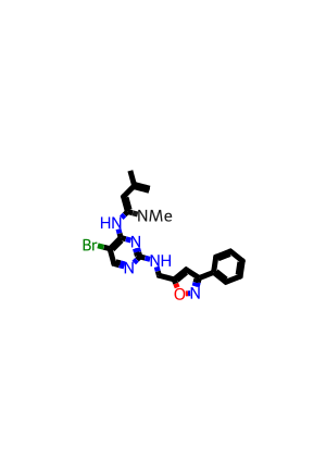 C=C(C)/C=C(\NC)Nc1nc(NCc2cc(-c3ccccc3)no2)ncc1Br